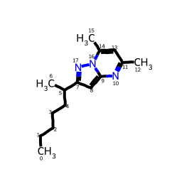 CCCCCC(C)c1cc2nc(C)cc(C)n2n1